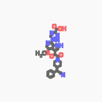 COc1cnc(N/C=N\C(=N)C(=O)O)c2[nH]cc(C(=O)C(=O)N3CCC(=C(C#N)c4ccccc4)CC3)c12